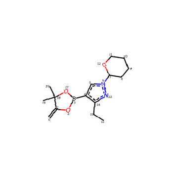 C=C1OB(c2cn(C3CCCCO3)nc2CC)OC1(C)C